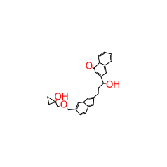 O=C1C=C(C(O)CCC2=CC3C=C(COCC4(O)CC4)C=CC3=C2)C=C2C=CC=CC12